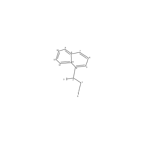 ICC(I)c1cccc2ccccc12